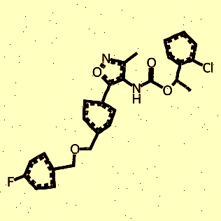 Cc1noc(-c2ccc(COCc3ccc(F)cc3)cc2)c1NC(=O)OC(C)c1ccccc1Cl